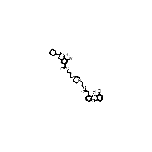 CCN(Cc1cc(C(=O)OCCCN2CCN(CCOC(=O)Cc3ccccc3Nc3c(Cl)cccc3Cl)CC2)cc(Br)c1N)C1CCCCC1